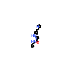 O=C(NCCC1CCCC1)c1cccc(Nc2ccc(C=Cc3ccccn3)cc2)n1